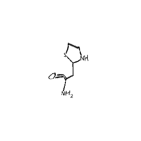 NC(=O)CC1NCCS1